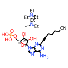 CCN(CC)CC.CCN(CC)CC.N#CCCCCC#Cc1nc(N)c2ncn([C@@H]3O[C@H](COP(=O)(O)O)[C@@H](O)[C@H]3O)c2n1